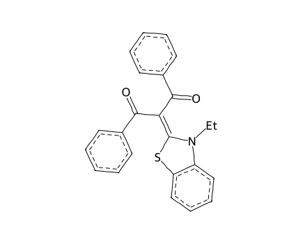 CCN1C(=C(C(=O)c2ccccc2)C(=O)c2ccccc2)Sc2ccccc21